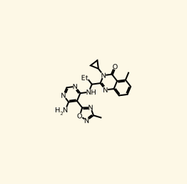 CCC(Nc1ncnc(N)c1-c1nc(C)no1)c1nc2cccc(C)c2c(=O)n1C1CC1